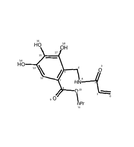 C=CC(=O)NCc1c(C(=O)OCCC)cc(O)c(O)c1O